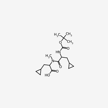 CN(C(=O)C(CC1CC1)NC(=O)OC(C)(C)C)C(CC1CC1)C(=O)O